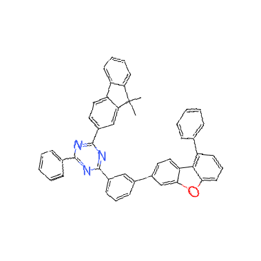 CC1(C)c2ccccc2-c2ccc(-c3nc(-c4ccccc4)nc(-c4cccc(-c5ccc6c(c5)oc5cccc(-c7ccccc7)c56)c4)n3)cc21